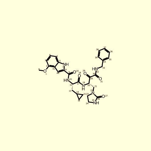 COc1cccc2[nH]c(C(=O)N[C@@H](CC3CC3)C(=O)N[C@@H](CN3CCNC3=O)C(=O)C(=O)NCc3ccccc3)cc12